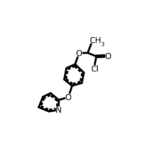 CC(Oc1ccc(Oc2ccccn2)cc1)C(=O)Cl